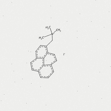 C[N+](C)(C)Cc1ccc2ccc3cccc4ccc1c2c34.[I-]